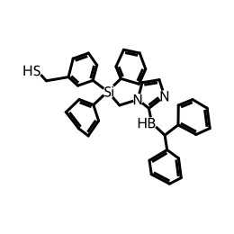 SCc1cccc([Si](Cn2ccnc2BC(c2ccccc2)c2ccccc2)(c2ccccc2)c2ccccc2)c1